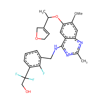 COc1cc2nc(C)nc(NCc3cccc(C(F)(F)CO)c3F)c2cc1OC(C)C1=CCOC1